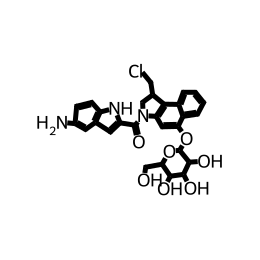 Nc1ccc2[nH]c(C(=O)N3CC(CCl)c4c3cc(OC3OC(CO)C(O)C(O)C3O)c3ccccc43)cc2c1